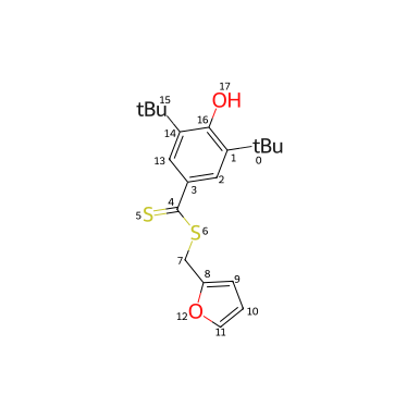 CC(C)(C)c1cc(C(=S)SCc2ccco2)cc(C(C)(C)C)c1O